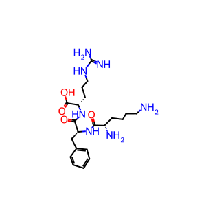 N=C(N)NCCC[C@H](NC(=O)[C@H](Cc1ccccc1)NC(=O)[C@@H](N)CCCCN)C(=O)O